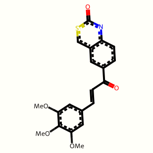 COc1cc(C=CC(=O)c2ccc3nc(=O)scc3c2)cc(OC)c1OC